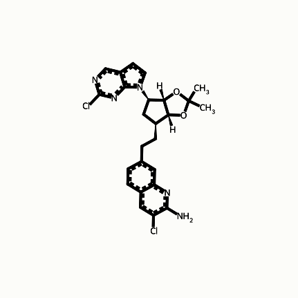 CC1(C)O[C@@H]2[C@@H](CCc3ccc4cc(Cl)c(N)nc4c3)C[C@@H](n3ccc4cnc(Cl)nc43)[C@@H]2O1